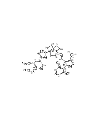 COc1cc(-c2noc(C34CCC5(OCc6c(-c7c(Cl)cncc7Cl)noc6C6CC6)CCC53CC4)n2)cnc1C(=O)O